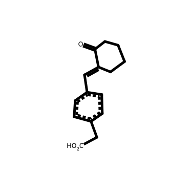 O=C(O)Cc1ccc(C=C2CCCCC2=O)cc1